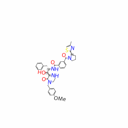 COc1ccc(CN2CCN[C@@H]([C@@H](O)[C@H](Cc3ccccc3)NC(=O)c3cccc(C(=O)N4CCC[C@@H]4c4nc(C)cs4)c3)C2=O)cc1